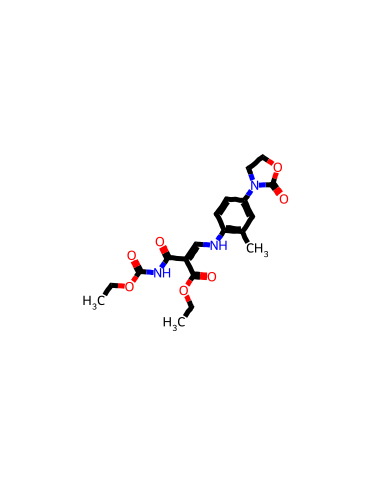 CCOC(=O)NC(=O)C(=CNc1ccc(N2CCOC2=O)cc1C)C(=O)OCC